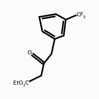 CCOC(=O)CC(=O)Cc1cccc(C(F)(F)F)c1